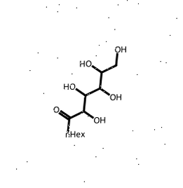 CCCCCCC(=O)C(O)C(O)C(O)C(O)CO